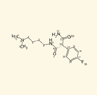 CN(C)CCCCNC(=O)[C@H](C(N)=O)c1ccc(F)cc1